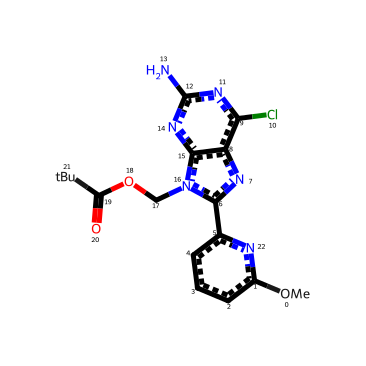 COc1cccc(-c2nc3c(Cl)nc(N)nc3n2COC(=O)C(C)(C)C)n1